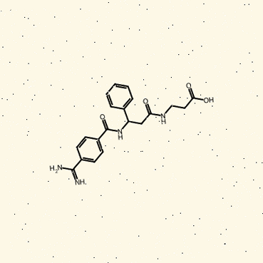 N=C(N)c1ccc(C(=O)NC(CC(=O)NCCC(=O)O)c2ccccc2)cc1